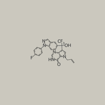 C=CCn1cc(C(O)(c2ccc3c(cnn3-c3ccc(F)cc3)c2)C(F)(F)F)c2nc[nH]c(=O)c21